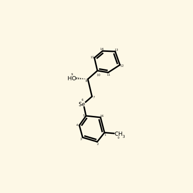 Cc1cccc([Se]C[C@H](O)c2ccccc2)c1